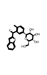 Cc1ccc([C@@H]2O[C@H](CO)[C@@H](O)[C@H](O)[C@H]2O)cc1C(F)c1cc2ccccc2s1